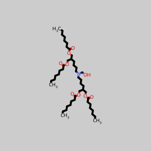 CCCCCCCC(=O)OCC(CCCCN(CO)CCCCC(COC(=O)CCCCCCC)COC(=O)CCCCCCC)COC(=O)CCCCCCC